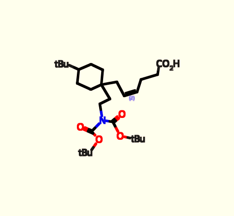 CC(C)(C)OC(=O)N(CCC1(C/C=C\CCC(=O)O)CCC(C(C)(C)C)CC1)C(=O)OC(C)(C)C